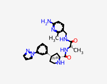 Cc1nc(N)ccc1CNC(=O)[C@H](C)NC(=O)[C@H]1C[C@@H](c2cccc(-n3cccn3)c2)CCN1